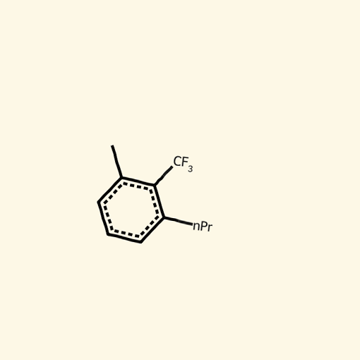 [CH2]CCc1cccc(C)c1C(F)(F)F